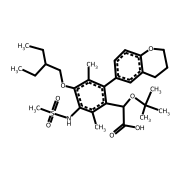 CCC(CC)COc1c(C)c(-c2ccc3c(c2)CCCO3)c(C(OC(C)(C)C)C(=O)O)c(C)c1NS(C)(=O)=O